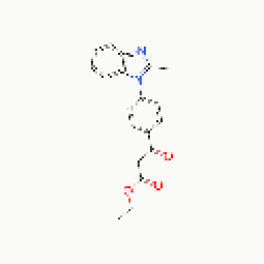 CCOC(=O)CC(=O)c1ccc(-n2c(C)nc3ccccc32)cc1